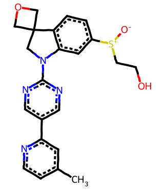 Cc1ccnc(-c2cnc(N3CC4(COC4)c4ccc([S+]([O-])CCO)cc43)nc2)c1